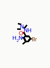 CCN(CC)C(C)NC(=O)c1cc(Br)cc(C)c1N